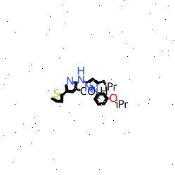 CC(C)Cc1cc(Nc2ncc(-c3cccs3)cc2C(=O)O)nn1-c1cccc(OC(C)C)c1